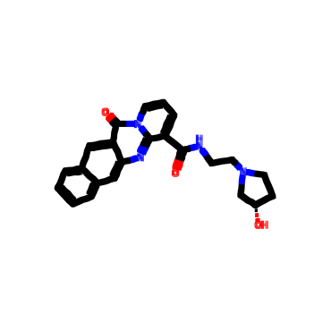 O=C(NCCN1CC[C@H](O)C1)c1cccn2c(=O)c3cc4ccccc4cc3nc12